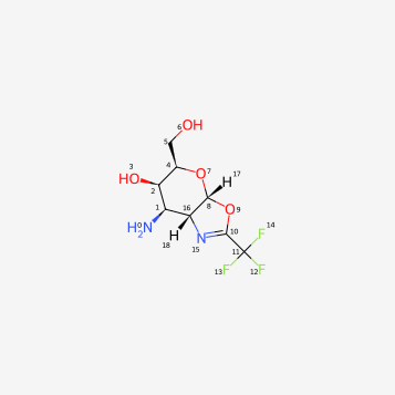 N[C@H]1[C@@H](O)[C@@H](CO)O[C@@H]2OC(C(F)(F)F)=N[C@@H]21